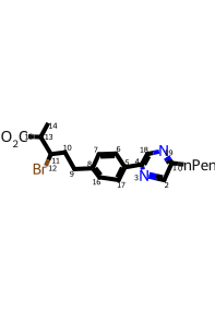 CCCCCc1cnc(-c2ccc(CCC(Br)C(C)C(=O)O)cc2)cn1